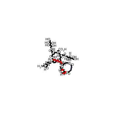 CC(=O)[C@H](CSSCCOC(=O)O[C@@H]1C(=O)OC[C@]23CCC(C)=C[C@H]2O[C@@H]2C[C@@H](OC(=O)/C=C\C=C\C(=O)OCC[C@H]1C)[C@@]3(C)[C@]21CO1)NC(=O)[C@H](CCC(=O)NC[C@H](O)[C@@H](O)[C@H](O)[C@H](O)CO)CC(=O)[C@H](CCC(=O)O)NC(=O)[C@H](CCC(=O)NC[C@H](O)[C@@H](O)[C@H](O)[C@H](O)CO)CC(=O)CC[C@H](NC(=O)c1ccc(NCc2cnc3nc(N)[nH]c(=O)c3n2)cc1)C(=O)O